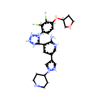 Nc1ncc(-c2cnn(C3CCNCC3)c2)cc1-c1nnnn1-c1ccc(OC2CCOC2)c(F)c1F